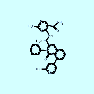 Cc1cc(-c2cccc3cc([C@H](C)Nc4nc(C)ncc4C(N)=O)n(-c4ccccc4)c(=O)c23)ccn1